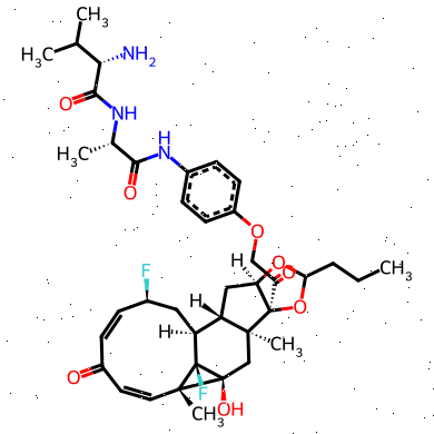 CCCC1O[C@@H]2C[C@H]3[C@@H]4C[C@H](F)C=CC(=O)C=C[C@@]5(C)[C@@](O)(C[C@]3(C)[C@]2(C(=O)COc2ccc(NC(=O)[C@H](C)NC(=O)[C@@H](N)C(C)C)cc2)O1)[C@@]45F